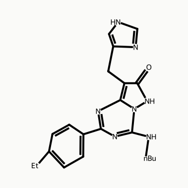 CCCCNc1nc(-c2ccc(CC)cc2)nc2c(Cc3c[nH]cn3)c(=O)[nH]n12